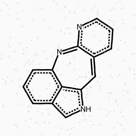 C1=c2cccnc2=Nc2cccc3c[nH]c1c23